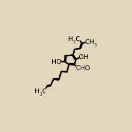 CC=CC=CCCc1c(O)cc(CC=C(C)C)c(O)c1C=O